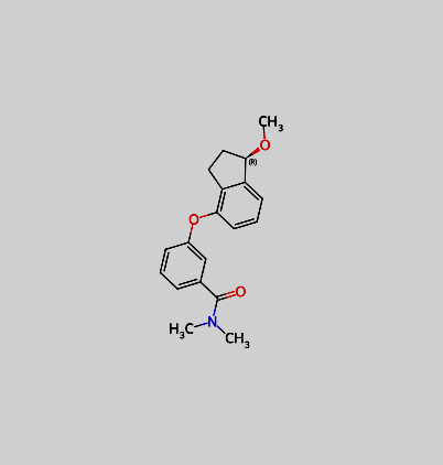 CO[C@@H]1CCc2c(Oc3cccc(C(=O)N(C)C)c3)cccc21